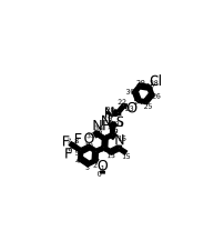 COc1ccc(C(F)(F)F)cc1-c1cc(C)nc(-c2nnc(COc3ccc(Cl)cc3)s2)c1C(N)=O